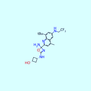 Cc1cc(C2(N)N=C(N[C@H]3C[C@@H](O)C3)O2)nc2c(C(C)(C)C)cc(NCC(F)(F)F)cc12